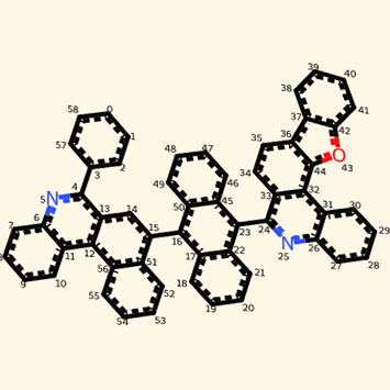 c1ccc(-c2nc3ccccc3c3c2cc(-c2c4ccccc4c(-c4nc5ccccc5c5c4ccc4c6ccccc6oc45)c4ccccc24)c2ccccc23)cc1